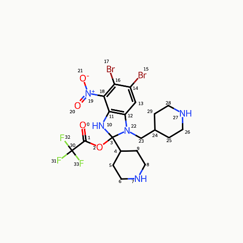 O=C(OC1(C2CCNCC2)Nc2c(cc(Br)c(Br)c2[N+](=O)[O-])N1CC1CCNCC1)C(F)(F)F